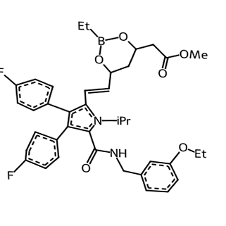 CCOc1cccc(CNC(=O)c2c(-c3ccc(F)cc3)c(-c3ccc(F)cc3)c(C=CC3CC(CC(=O)OC)OB(CC)O3)n2C(C)C)c1